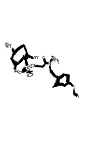 CC(C)c1cc(C(C)C)c(S(=O)(=O)OCC(=O)N(Cc2ccc(OC=S)cc2)C(C)C)c(C(C)C)c1